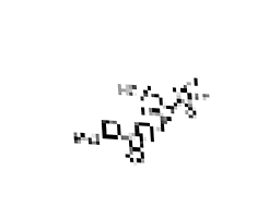 CCN1C(=O)/C(=c2\s/c(=C/c3ccc4c(c3)C3CCCC3N4c3cccc(SC)c3)c(=O)n2CC(=O)O)SC1S